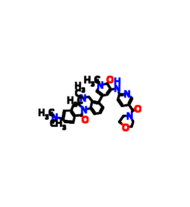 CN(C)Cc1c(-c2cc(Nc3ccc(C(=O)N4CCOCC4)cn3)c(=O)n(C)c2)cccc1N1CCc2cc(N(C)C)ccc2C1=O